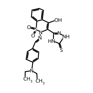 CCN(CC)c1ccc(/C=N/N2C(c3n[nH]c(=S)[nH]3)=C(O)c3ccccc3S2(=O)=O)cc1